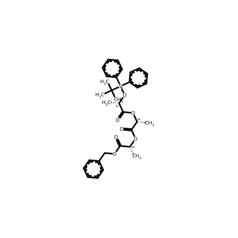 C[C@H](O[Si](c1ccccc1)(c1ccccc1)C(C)(C)C)C(=O)O[C@H](C)C(=O)O[C@H](C)C(=O)OCc1ccccc1